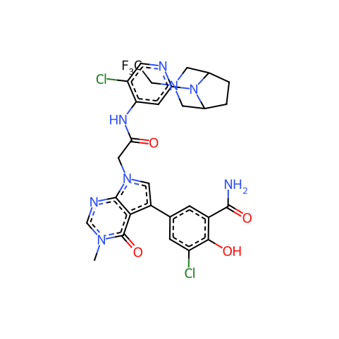 Cn1cnc2c(c(-c3cc(Cl)c(O)c(C(N)=O)c3)cn2CC(=O)Nc2cc(N3C4CCC3CN(CC(F)(F)F)C4)ncc2Cl)c1=O